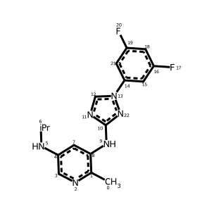 Cc1ncc(NC(C)C)cc1Nc1ncn(-c2cc(F)cc(F)c2)n1